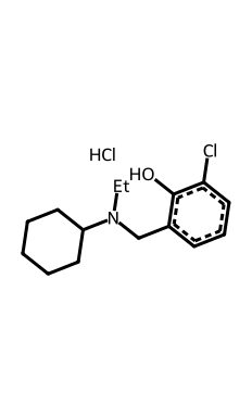 CCN(Cc1cccc(Cl)c1O)C1CCCCC1.Cl